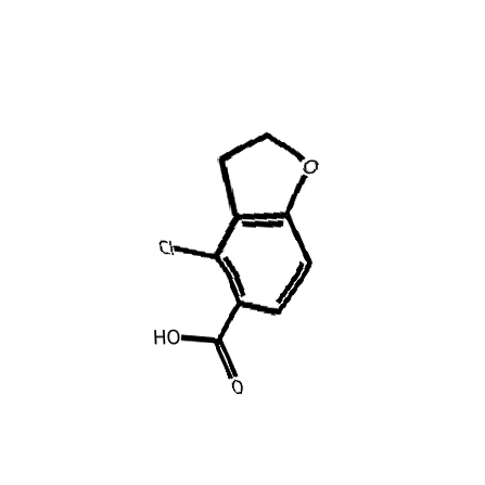 O=C(O)c1ccc2c(c1Cl)CCO2